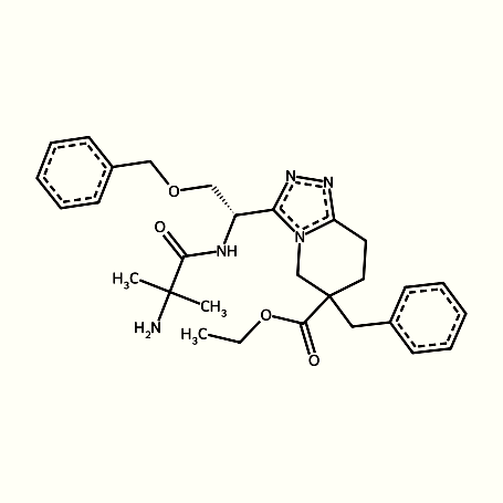 CCOC(=O)C1(Cc2ccccc2)CCc2nnc([C@@H](COCc3ccccc3)NC(=O)C(C)(C)N)n2C1